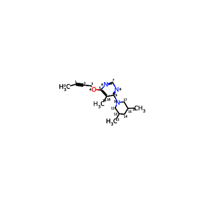 CC#CCOc1ncnc(N2CC(C)CC(C)C2)c1C